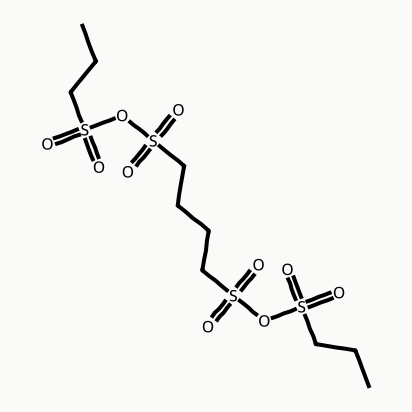 CCCS(=O)(=O)OS(=O)(=O)CCCCS(=O)(=O)OS(=O)(=O)CCC